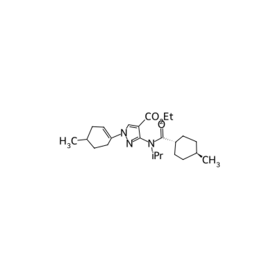 CCOC(=O)c1cn(C2=CCC(C)CC2)nc1N(C(=O)[C@H]1CC[C@H](C)CC1)C(C)C